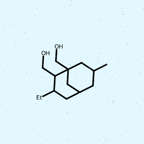 CCC1CC2CC(C)CC(CO)(C2)C1CO